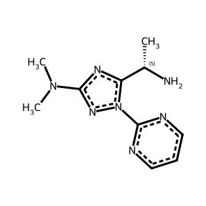 C[C@H](N)c1nc(N(C)C)nn1-c1ncccn1